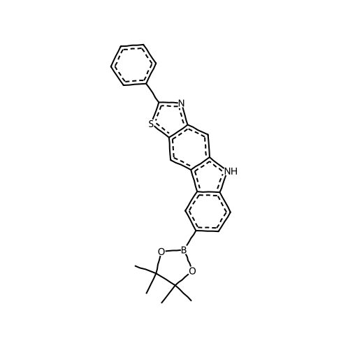 CC1(C)OB(c2ccc3[nH]c4cc5nc(-c6ccccc6)sc5cc4c3c2)OC1(C)C